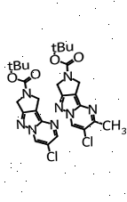 CC(C)(C)OC(=O)N1Cc2nn3cc(Cl)cnc3c2C1.Cc1nc2c3c(nn2cc1Cl)CN(C(=O)OC(C)(C)C)C3